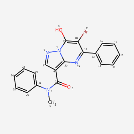 CN(C(=O)c1cnn2c(O)c(Br)c(-c3ccccc3)nc12)c1ccccc1